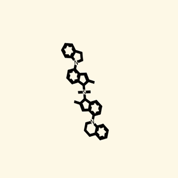 CC1=Cc2c(cccc2N2CCCc3ccccc32)C1S(C)(C)C1C(C)=Cc2c1cccc2N1CCc2ccccc21